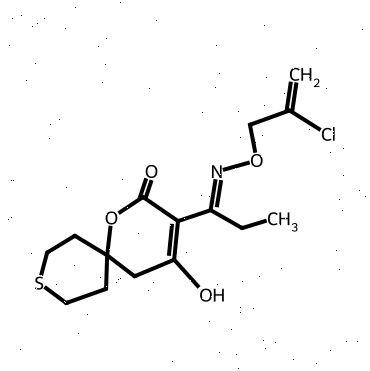 C=C(Cl)CON=C(CC)C1=C(O)CC2(CCSCC2)OC1=O